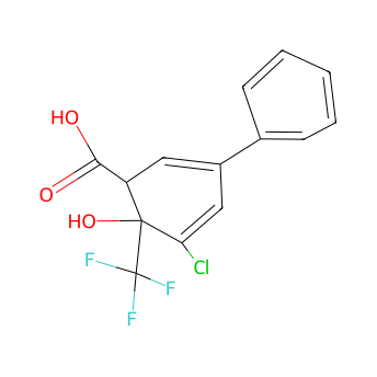 O=C(O)C1C=C(c2ccccc2)C=C(Cl)C1(O)C(F)(F)F